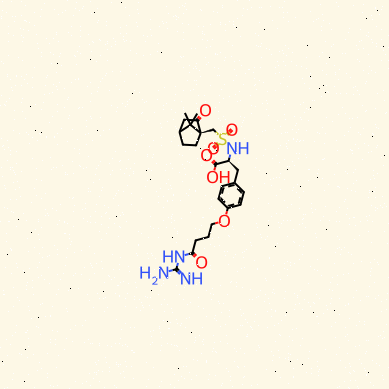 CC1(C)C2CC[C@@]1(CS(=O)(=O)N[C@@H](Cc1ccc(OCCCC(=O)NC(=N)N)cc1)C(=O)O)C(=O)C2